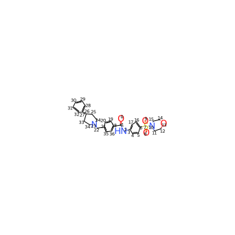 O=C(Nc1ccc(S(=O)(=O)N2CCOCC2)cc1)c1ccc(CN2CCC(c3ccccc3)CC2)cc1